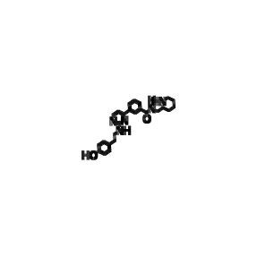 O=C(NCC1CCCCN1)c1cccc(-c2ccnc(NCCc3ccc(O)cc3)n2)c1